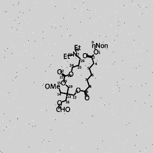 CCCCCCCCCOC(=O)CCCCCC(=O)OCC(COC)(COC=O)COC(=O)OCCCN(CC)CC